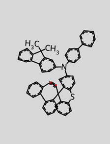 CC1(C)c2ccccc2-c2ccc(N(c3ccc(-c4ccccc4)cc3)c3ccc4c(c3)C3(c5ccccc5S4)c4ccccc4-c4ccccc4-c4ccccc43)cc21